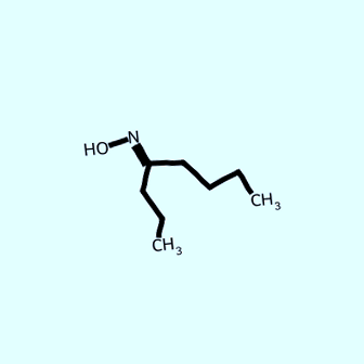 CCCC/C(CCC)=N/O